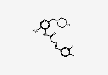 Cc1ccc(CN2CCNCC2)cc1NC(=O)CN=Nc1ccc(F)c(F)c1